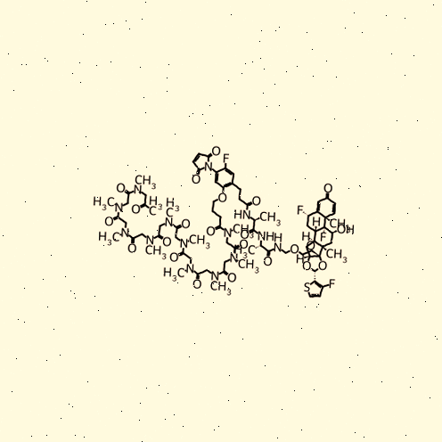 CC(=O)CN(C)C(=O)CN(C)C(=O)CN(C)C(=O)CN(C)C(=O)CN(C)C(=O)CN(C)C(=O)CN(C)C(=O)CN(C)C(=O)CN(C)C(=O)CN(C)C(=O)CCCOc1cc(N2C(=O)C=CC2=O)c(F)cc1CCC(=O)N[C@@H](C)C(=O)N[C@@H](C)C(=O)NCOCC(=O)[C@@]12O[C@H](c3sccc3F)O[C@@H]1C[C@H]1[C@@H]3C[C@H](F)C4=CC(=O)C=C[C@]4(C)[C@@]3(F)[C@@H](O)C[C@@]12C